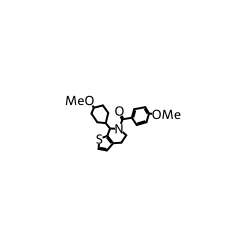 COc1ccc(C(=O)N2CCc3ccsc3C2C2CCC(OC)CC2)cc1